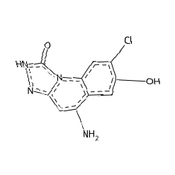 Nc1cc2n[nH]c(=O)n2c2cc(Cl)c(O)cc12